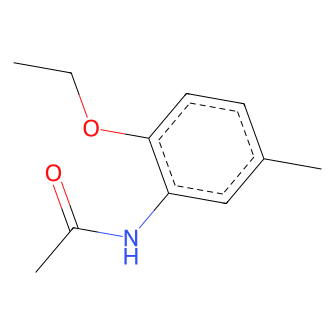 CCOc1ccc(C)cc1NC(C)=O